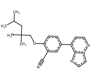 CC(C)CC(C)(N)COc1ccc(-c2ccnn3ccnc23)cc1C#N